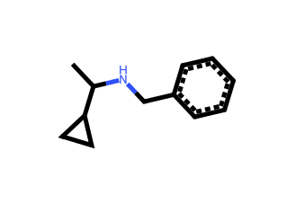 CC(NCc1ccccc1)C1CC1